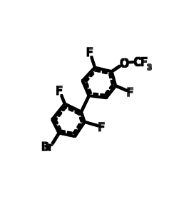 Fc1cc(-c2c(F)cc(Br)cc2F)cc(F)c1OC(F)(F)F